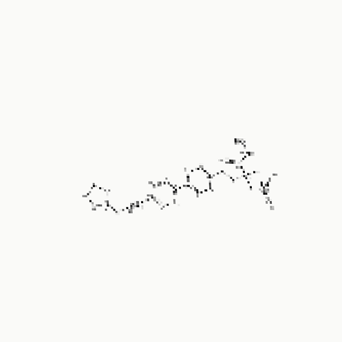 CC(CCN1CC=C(c2ccc(C#CCN3CCCC3)cc2)CC1)(C[SH](=O)=O)C(=O)NO